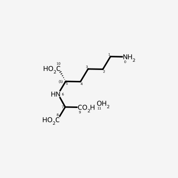 NCCCC[C@H](NC(C(=O)O)C(=O)O)C(=O)O.O